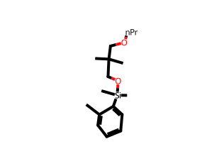 CCCOCC(C)(C)CO[Si](C)(C)c1ccccc1C